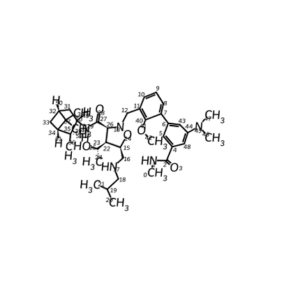 CNC(=O)c1cc(-c2cccc(CN3O[C@@H](CNCC(C)C)[C@@H]([C@H](C)O)[C@H]3C(=O)N[C@H]3C[C@H]4C[C@@H]([C@@H]3C)C4(C)C)c2OC)cc(N(C)C)c1